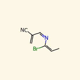 C=C(C#N)/C=N\C(Br)=C/C